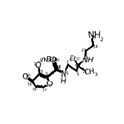 CCCCOc1c(C(=O)NCCC(C)(CC)NCCN)occc1=O